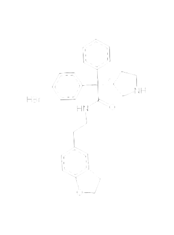 Br.O=C(NCCc1ccc2c(c1)CCO2)C(c1ccccc1)(c1ccccc1)[C@@H]1CCNC1